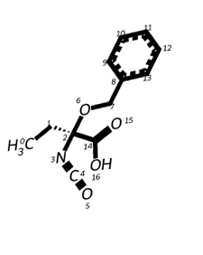 CC[C@](N=C=O)(OCc1ccccc1)C(=O)O